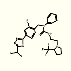 O=C(NCCN1CCCC1C(F)(F)F)N(Cc1ccc(-c2nnc(C(F)F)o2)cc1F)c1ccccc1